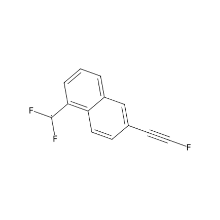 FC#Cc1ccc2c([C](F)F)cccc2c1